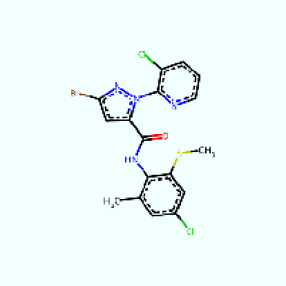 CSc1cc(Cl)cc(C)c1NC(=O)c1cc(Br)nn1-c1ncccc1Cl